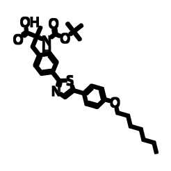 CCCCCCCOc1ccc(-c2cnc(-c3ccc(CC(C)(NC(=O)OC(C)(C)C)C(=O)O)cc3)s2)cc1